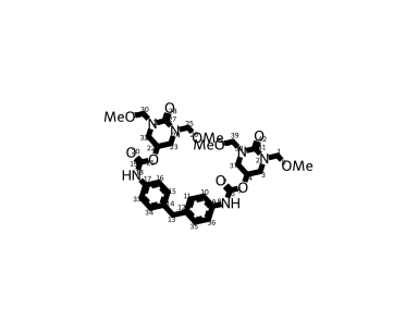 COCN1CC(OC(=O)Nc2ccc(Cc3ccc(NC(=O)OC4CN(COC)C(=O)N(COC)C4)cc3)cc2)CN(COC)C1=O